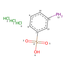 Cl.Cl.Cl.O=S(=O)(O)c1cccc(P)c1